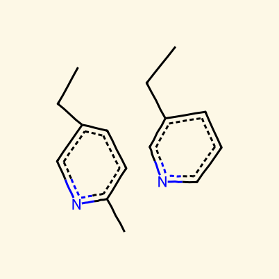 CCc1ccc(C)nc1.CCc1cccnc1